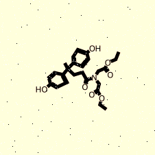 CCOC(=O)CN(CC(=O)OCC)C(=O)CCC(C)(c1ccc(O)cc1)c1ccc(O)cc1